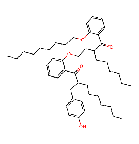 CCCCCCCCCOc1ccccc1C(=O)C(CCCCCC)CCOc1ccccc1C(=O)C(CCCCCCC)Cc1ccc(O)cc1